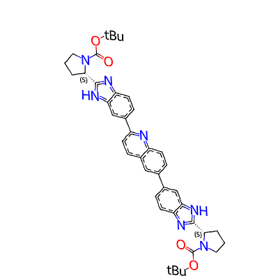 CC(C)(C)OC(=O)N1CCC[C@H]1c1nc2ccc(-c3ccc4nc(-c5ccc6nc([C@@H]7CCCN7C(=O)OC(C)(C)C)[nH]c6c5)ccc4c3)cc2[nH]1